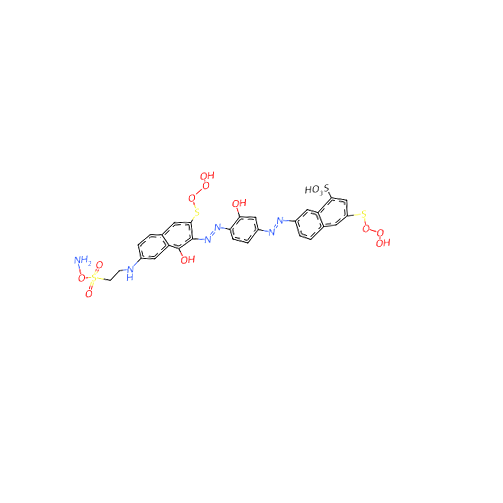 NOS(=O)(=O)CCNc1ccc2cc(SOOO)c(/N=N/c3ccc(/N=N/c4ccc5cc(SOOO)cc(S(=O)(=O)O)c5c4)cc3O)c(O)c2c1